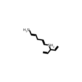 C=CC(C=C)[SiH2]C=CCC=C[SiH3]